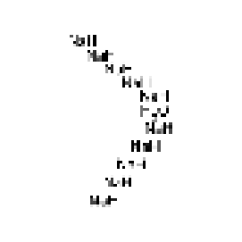 O.[NaH].[NaH].[NaH].[NaH].[NaH].[NaH].[NaH].[NaH].[NaH].[NaH]